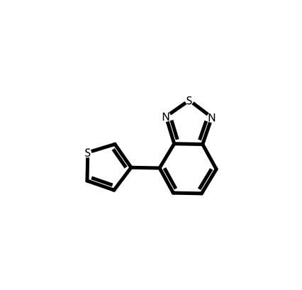 c1cc(-c2ccsc2)c2nsnc2c1